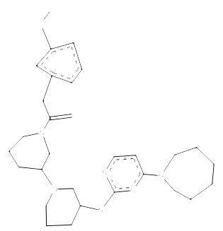 COc1cccc(CC(=O)N2CCCC(N3CCCC(Nc4nccc(N5CCCCCC5)n4)C3)C2)c1